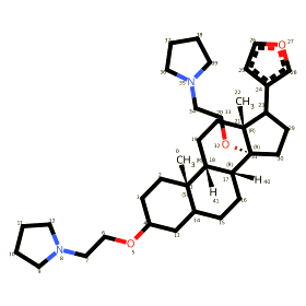 C[C@]12CCC(OCCN3CCCC3)CC1CC[C@@H]1[C@H]2CC[C@]2(C)C(c3ccoc3)CC[C@@]12OCCN1CCCC1